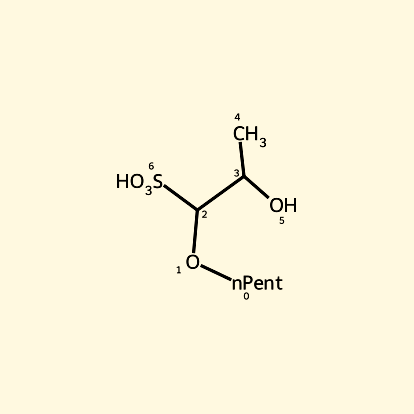 CCCCCOC(C(C)O)S(=O)(=O)O